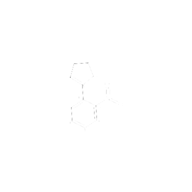 O=[SH](=O)c1ccccc1C1=CCCC1